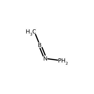 C/B=N/P